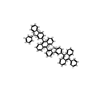 c1ccc(-c2c3ccccc3c(-c3ccc4sc5c(-c6c7ccccc7c(-c7ccc8c9ccccc9n(-c9ccccc9)c8c7)c7ccccc67)cccc5c4c3)c3ccccc23)cc1